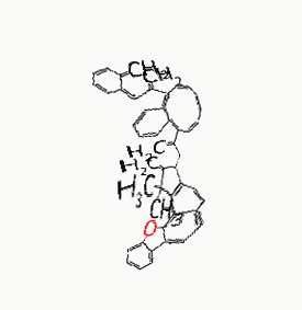 C=C(/C=c1/ccccc1=C)c1ccccccc(C(=C)CC2C(=C)C(C)(C)c3c2ccc2ccc4c5ccccc5oc4c32)c2ccccc12